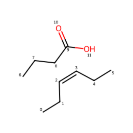 CC/C=C\CC.CCCC(=O)O